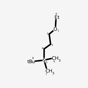 CCOCCCS(C)(C)C(C)(C)C